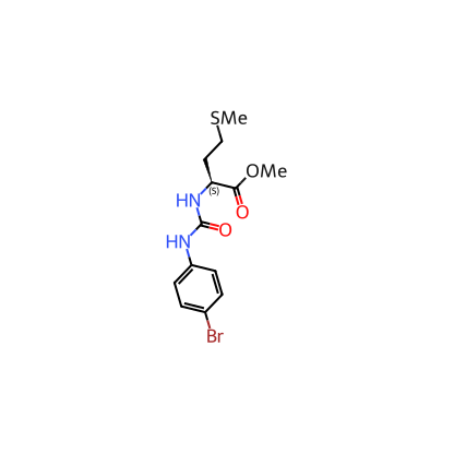 COC(=O)[C@H](CCSC)NC(=O)Nc1ccc(Br)cc1